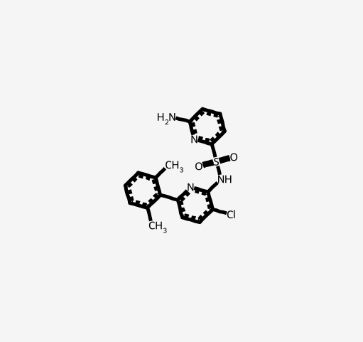 Cc1cccc(C)c1-c1ccc(Cl)c(NS(=O)(=O)c2cccc(N)n2)n1